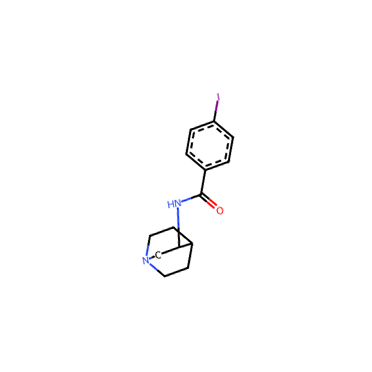 O=C(NC1CN2CCC1CC2)c1ccc(I)cc1